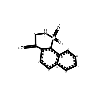 O=C1CNS(=O)(=O)c2c1ccc1ccccc21